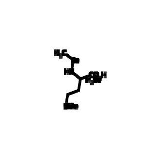 CSCCC(N[Se]C)C(=O)O.[SeH2]